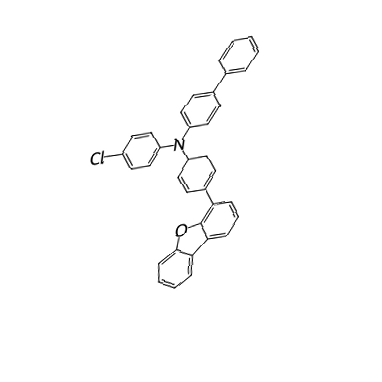 Clc1ccc(N(c2ccc(-c3ccccc3)cc2)C2C=CC(c3cccc4c3oc3ccccc34)=CC2)cc1